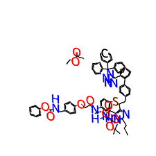 CCCc1nc(C(Cc2ccc(-c3ccccc3-c3nnnn3C(c3ccccc3)(c3ccccc3)c3ccccc3)cc2)Sc2ccc(NC(=O)COc3ccc(CNC(=O)Oc4ccccc4)cc3)c(N(C)C(=O)OC(C)(C)C)c2)c(C(=O)OCC)[nH]1.CCOC(C)=O